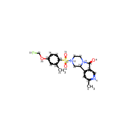 Cc1cc2c(cn1)C(=O)N1CCN(S(=O)(=O)c3ccc(OCF)cc3C)CC21